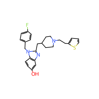 Oc1ccc2c(c1)nc(CC1CCN(CCc3cccs3)CC1)n2Cc1ccc(F)cc1